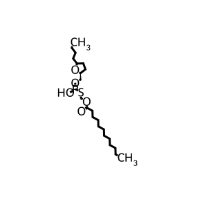 CCCCCCCCCCCC(=O)OCSP(O)OC[C@@H]1CCC(CCCC)O1